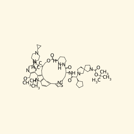 CCn1c(-c2cc(N3CCN(C4CC4)CC3)cnc2[C@H](C)OC)c2c3cc(ccc31)-c1csc(n1)C[C@H](NC(=O)[C@H](C1CCCC1)N1CC[C@]3(CCN(C(=O)OC(C)(C)C)C3)C1)C(=O)N1CCC[C@H](N1)C(=O)OCC(C)(C)C2